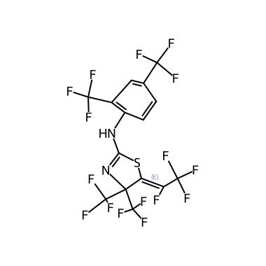 F/C(=C1/SC(Nc2ccc(C(F)(F)F)cc2C(F)(F)F)=NC1(C(F)(F)F)C(F)(F)F)C(F)(F)F